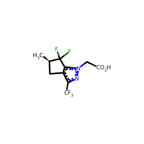 C[C@@H]1Cc2c(C(F)(F)F)nn(CC(=O)O)c2C1(F)F